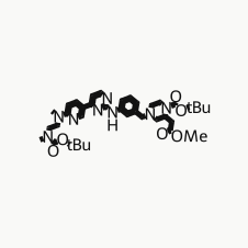 COC(=O)CC1CN(Cc2cccc(Nc3nccc(-c4ccc(N(C)CCN(C)C(=O)OC(C)(C)C)nc4)n3)c2)CCN1C(=O)OC(C)(C)C